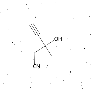 C#CC(C)(O)CC#N